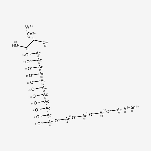 CC(=O)[O-].CC(=O)[O-].CC(=O)[O-].CC(=O)[O-].CC(=O)[O-].CC(=O)[O-].CC(=O)[O-].CC(=O)[O-].CC(=O)[O-].CC(=O)[O-].CC(=O)[O-].CC(=O)[O-].CC(=O)[O-].CC(=O)[O-].CC(=O)[O-].OCCO.[Co+2].[Sn+4].[V+5].[W+4]